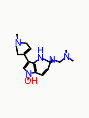 CN(C)C/N=c1\ccc2c([nH]1)c(C1=CCN(C)CC1)cn2O